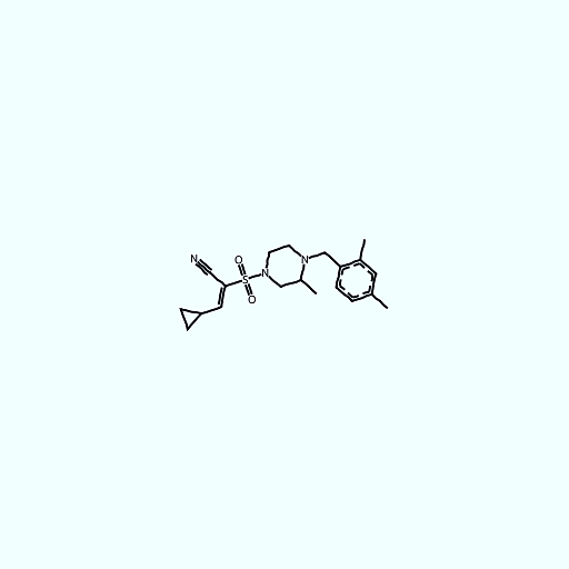 Cc1ccc(CN2CCN(S(=O)(=O)/C(C#N)=C/C3CC3)CC2C)c(C)c1